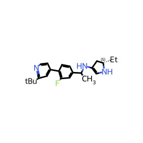 CC[C@H]1CC(NC(C)c2ccc(-c3ccnc(C(C)(C)C)c3)c(F)c2)=CN1